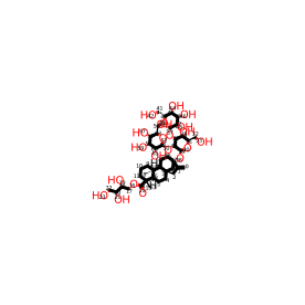 C=C1C[C@@]23CC[C@H]4[C@@](C)(CCC[C@@]4(C)C(=O)OC[C@H](O)[C@H](O)CO)[C@@H]2CC[C@]1(O[C@@H]1O[C@H](CO)[C@@H](O)[C@H](O[C@@H]2O[C@H](CO)[C@@H](O)[C@H](O)[C@H]2O)[C@H]1O[C@@H]1O[C@H](CO)[C@@H](O)[C@H](O)[C@H]1O)C3